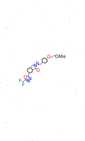 COCCOc1ccc(CN(C)N2Cc3ccc(-c4nnc(C(F)F)o4)cc3C2=O)cc1